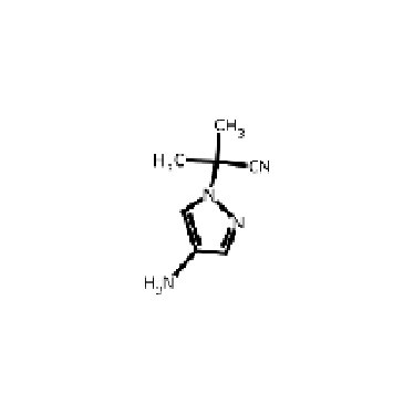 CC(C)(C#N)n1cc(N)cn1